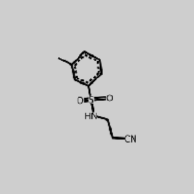 Cc1cccc(S(=O)(=O)NCCC#N)c1